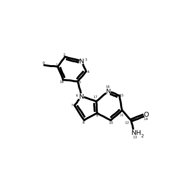 Cc1cncc(-n2ccc3cc(C(N)=O)cnc32)c1